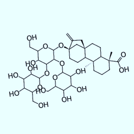 C=C1C[C@@]23CCC4[C@@](C)(CCC[C@@]4(C)C(=O)O)C2CC[C@@]1(OC1OC(CO)C(O)C(OC2OC(CO)C(O)C(O)C2O)C1OC1OC(CO)C(O)C(O)C1O)C3